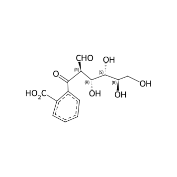 O=C[C@H](C(=O)c1ccccc1C(=O)O)[C@@H](O)[C@H](O)[C@H](O)CO